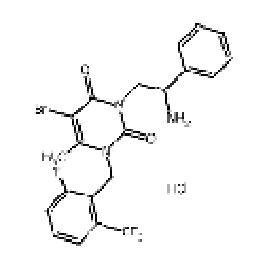 Cc1c(Br)c(=O)n(CC(N)c2ccccc2)c(=O)n1Cc1c(F)cccc1C(F)(F)F.Cl